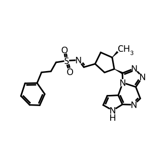 C[C@@H]1CC(/C=N/S(=O)(=O)CCCc2ccccc2)C[C@@H]1c1nnc2cnc3[nH]ccc3n12